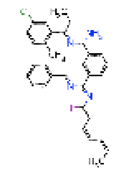 C/C=C\C=C/CC(I)/N=C(\N=C\c1ccccc1)c1cccc([C@@H](N)/N=C(\CC)c2cc(Cl)ccc2C)c1